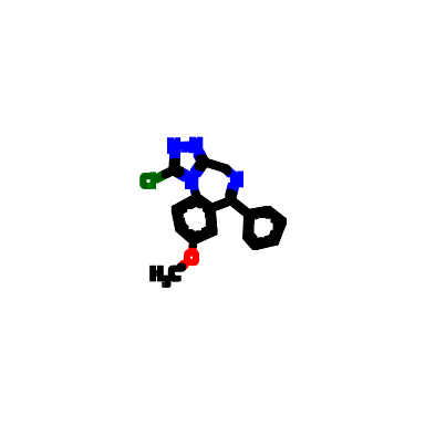 COc1ccc2c(c1)C(c1ccccc1)=NCc1nnc(Cl)n1-2